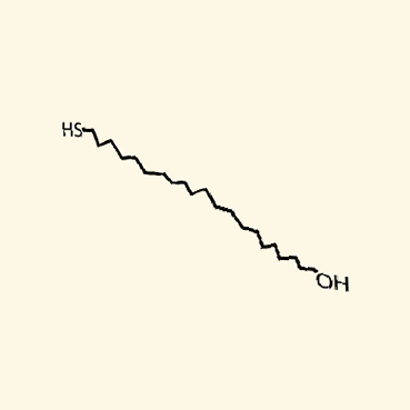 OCCCCCCCCCCCCCCCCCCCCCS